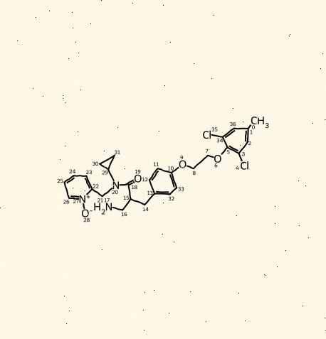 Cc1cc(Cl)c(OCCOc2ccc(CC(CN)C(=O)N(Cc3cccc[n+]3[O-])C3CC3)cc2)c(Cl)c1